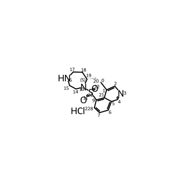 Cc1cncc2cccc(S(=O)(=O)N3CCNCC[C@@H]3C)c12.Cl